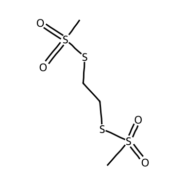 CS(=O)(=O)SCCSS(C)(=O)=O